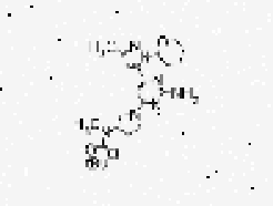 Cc1cc(-c2cc(N3CC[C@@H](N(C)C(=O)OC(C)(C)C)C3)nc(N)n2)n(C2CCCCO2)n1